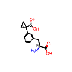 N[C@@H](Cc1cccc(C2(B(O)O)CC2)c1)C(=O)O